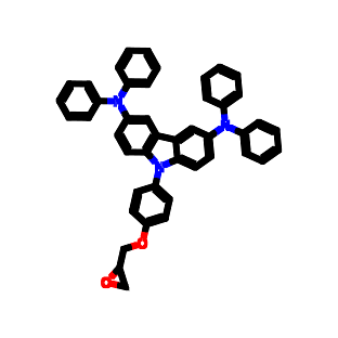 c1ccc(N(c2ccccc2)c2ccc3c(c2)c2cc(N(c4ccccc4)c4ccccc4)ccc2n3-c2ccc(OCC3CO3)cc2)cc1